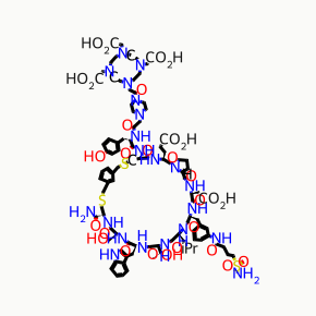 CC(C)C[C@@H]1NC(=O)[C@H](Cc2cccc(NC(=O)CCCS(N)(=O)=O)c2)NC(=O)[C@H](CC(=O)O)NC(=O)[C@H]2CCCN2C(=O)[C@H](CCC(=O)O)NC(=O)[C@@H](NC(=O)[C@H](Cc2ccc(O)cc2)NC(=O)CN2CCN(C(=O)CN3CCN(CC(=O)O)CCN(CC(=O)O)CCN(CC(=O)O)CC3)CC2)CSCc2cccc(c2)CSC[C@@H](C(N)=O)NC(=O)[C@H](CO)NC(=O)[C@H](Cc2c[nH]c3ccccc23)NC(=O)[C@H]([C@@H](C)O)NC1=O